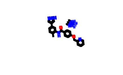 CN.CN.CN.Cc1ccc(-c2cn[nH]c2)cc1NC(=O)c1ccc(OCc2ccccn2)cc1